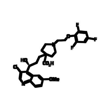 COc1ccc2ncc(Cl)c([C@H](O)CCC3(C(=O)O)CCN(CCOc4c(F)cc(F)cc4F)CC3)c2c1